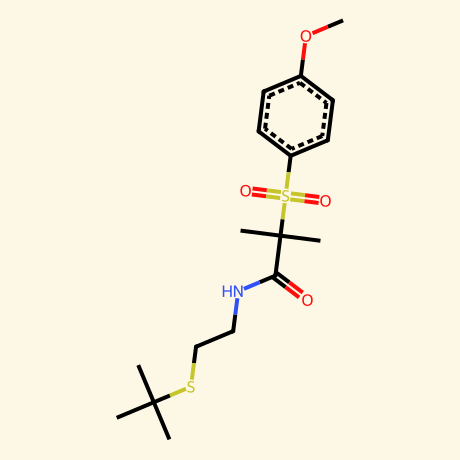 COc1ccc(S(=O)(=O)C(C)(C)C(=O)NCCSC(C)(C)C)cc1